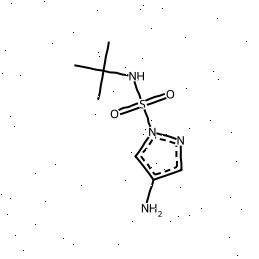 CC(C)(C)NS(=O)(=O)n1cc(N)cn1